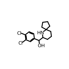 OC(c1ccc(Cl)c(Cl)c1)C1CCCC2(CCCC2)N1